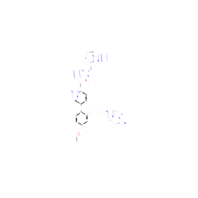 CCOc1ccc(-c2ccc(CC(=O)NCC3CCCN3)nc2)c(OCCN2CCN(C)CC2)c1